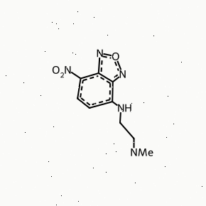 CNCCNc1ccc([N+](=O)[O-])c2nonc12